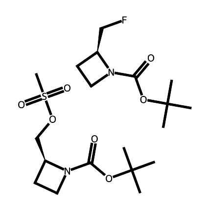 CC(C)(C)OC(=O)N1CC[C@H]1CF.CC(C)(C)OC(=O)N1CC[C@H]1COS(C)(=O)=O